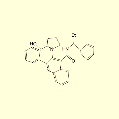 CCC(NC(=O)c1c(N2CCCC2CO)c(-c2ccccc2)nc2ccccc12)c1ccccc1